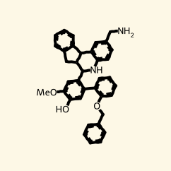 COc1cc(C2Nc3ccc(CN)cc3C3c4ccccc4CC23)c(-c2ccccc2OCc2ccccc2)cc1O